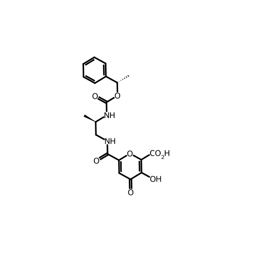 C[C@H](CNC(=O)c1cc(=O)c(O)c(C(=O)O)o1)NC(=O)O[C@@H](C)c1ccccc1